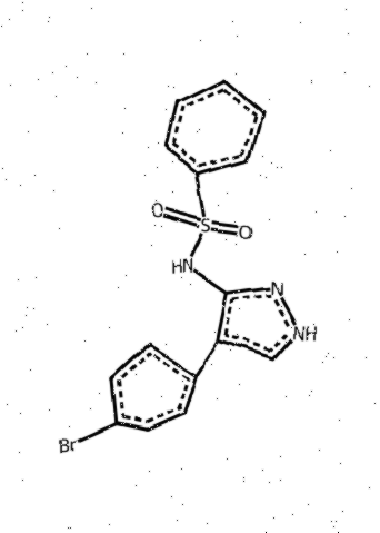 O=S(=O)(Nc1n[nH]cc1-c1ccc(Br)cc1)c1ccccc1